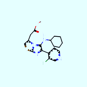 COC(=O)Cc1csc2nc(-c3ccncc3F)c(NC3CCCCC3)n12